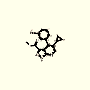 COC(=O)c1n[nH]c2ncc(C3CC3)c(-c3cccc(Br)c3)c12